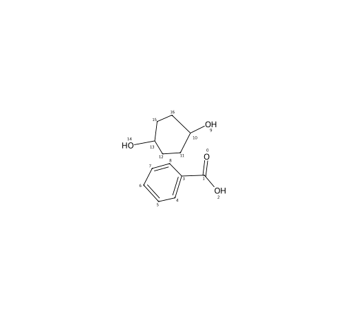 O=C(O)c1ccccc1.OC1CCC(O)CC1